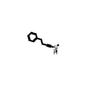 C[SiH](C)C#CCCc1ccccc1